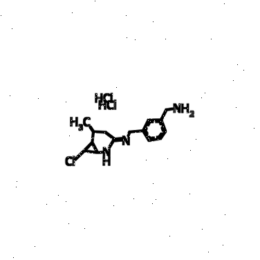 CC1C/C(=N\Cc2cccc(CN)c2)NC2C(Cl)C12.Cl.Cl